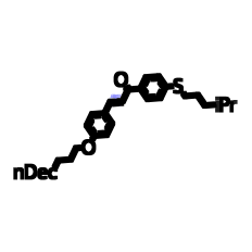 CCCCCCCCCCCCCOc1ccc(/C=C/C(=O)c2ccc(SCCCC(C)C)cc2)cc1